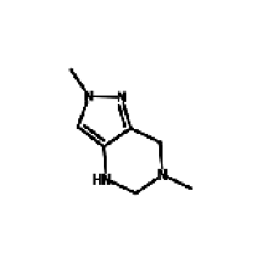 CN1CNc2cn(C)nc2C1